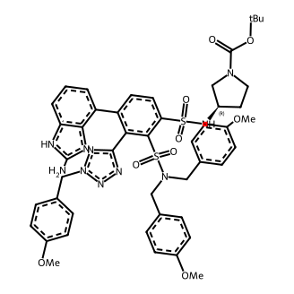 COc1ccc(CN(Cc2ccc(OC)cc2)S(=O)(=O)c2c(S(=O)(=O)N[C@@H]3CCN(C(=O)OC(C)(C)C)C3)ccc(-c3cccc4[nH]c(N)nc34)c2-c2nnn(Cc3ccc(OC)cc3)n2)cc1